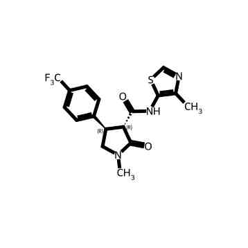 Cc1ncsc1NC(=O)[C@@H]1C(=O)N(C)C[C@H]1c1ccc(C(F)(F)F)cc1